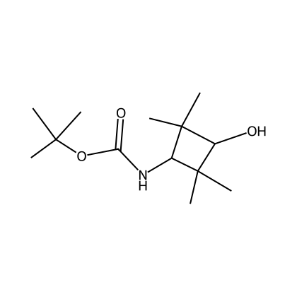 CC(C)(C)OC(=O)NC1C(C)(C)C(O)C1(C)C